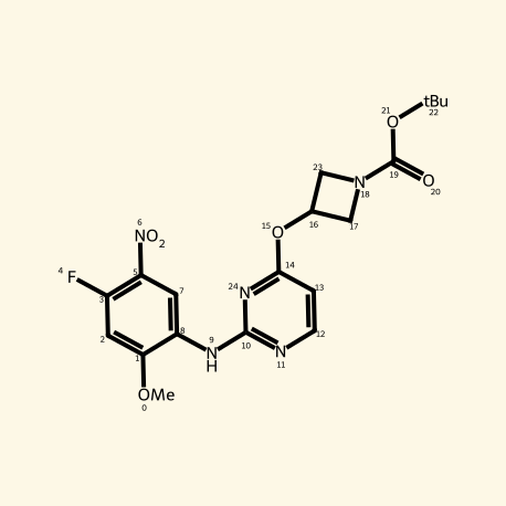 COc1cc(F)c([N+](=O)[O-])cc1Nc1nccc(OC2CN(C(=O)OC(C)(C)C)C2)n1